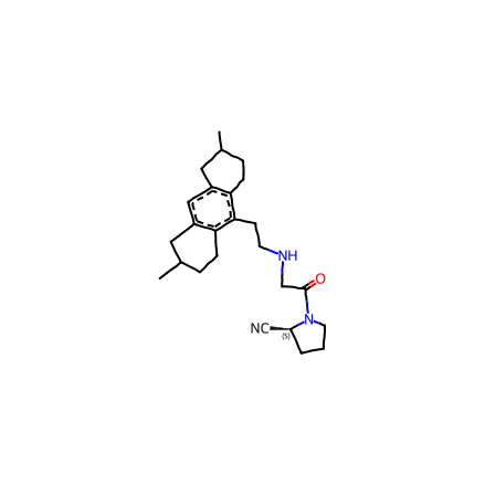 CC1CCc2c(cc3c(c2CCNCC(=O)N2CCC[C@H]2C#N)CCC(C)C3)C1